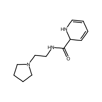 O=C(NCCN1CCCC1)[C]1C=CC=CN1